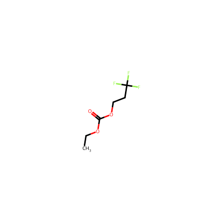 CCOC(=O)OCCC(F)(F)F